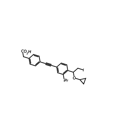 CC(C)c1cc(C#Cc2ccc(CC(=O)O)cc2)ccc1C(CI)OC1CC1